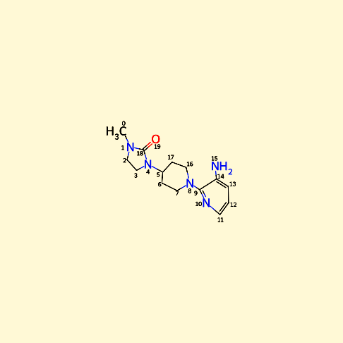 CN1CCN(C2CCN(c3ncccc3N)CC2)C1=O